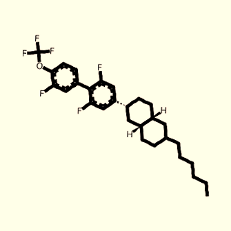 CCCCCCC1CC[C@@H]2C[C@H](c3cc(F)c(-c4ccc(OC(F)(F)F)c(F)c4)c(F)c3)CC[C@@H]2C1